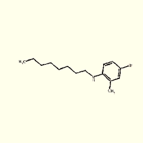 CCCCCCCCNc1ccc(Br)cc1C